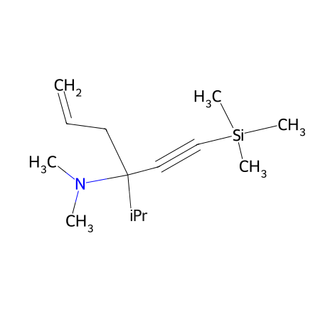 C=CCC(C#C[Si](C)(C)C)(C(C)C)N(C)C